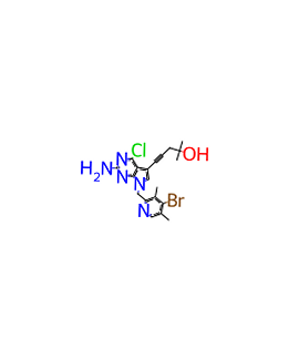 Cc1cnc(Cn2cc(C#CCC(C)(C)O)c3c(Cl)nc(N)nc32)c(C)c1Br